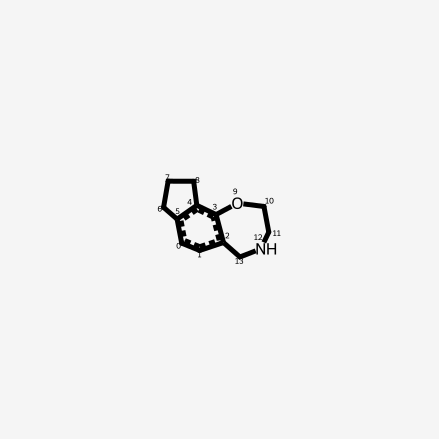 c1cc2c(c3c1CCC3)OCCNC2